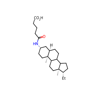 CC[C@H]1CCC2C3CC[C@@H]4C[C@@H](NC(=O)CCCC(=O)O)CC[C@]4(C)C3CC[C@@]21C